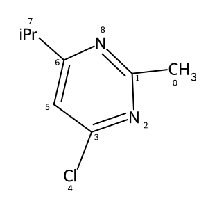 Cc1nc(Cl)cc(C(C)C)n1